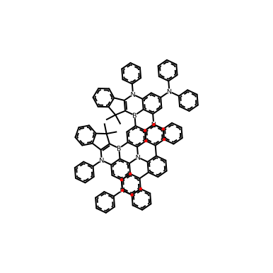 CC1(C)C2=C(c3ccccc31)N(c1ccccc1)c1cc(N(c3ccccc3)c3ccccc3)cc3c1B2c1cc2c(cc1N3c1ccccc1)N(c1c(-c3ccccc3)cccc1-c1ccccc1)c1cc(N(c3ccccc3)c3ccccc3)cc3c1B2C1=C(c2ccccc2C1(C)C)N3c1ccccc1